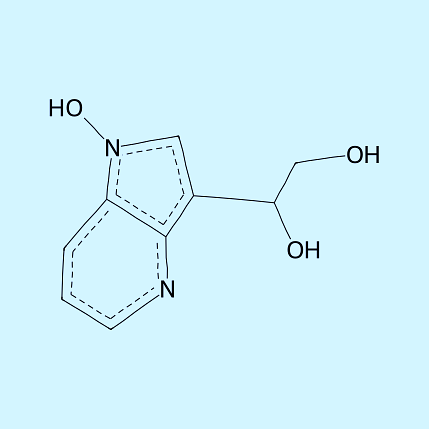 OCC(O)c1cn(O)c2cccnc12